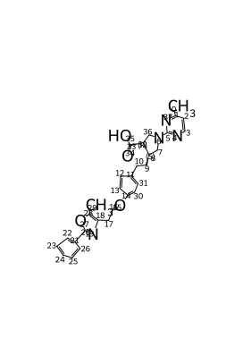 Cc1ccnc(N2C[C@@H](CCc3ccc(OCCc4nc(-c5ccccc5)oc4C)cc3)[C@@H](C(=O)O)C2)n1